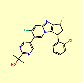 CC(C)(O)c1ncc(-c2cn3c4c(nc3cc2F)[C@H](F)C[C@H]4c2ccccc2Cl)cn1